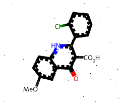 COc1ccc2[nH]c(-c3ccccc3Cl)c(C(=O)O)c(=O)c2c1